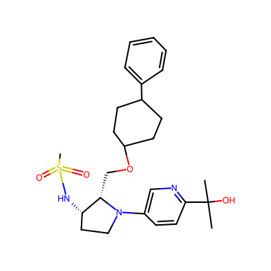 CC(C)(O)c1ccc(N2CC[C@H](NS(C)(=O)=O)[C@@H]2COC2CCC(c3ccccc3)CC2)cn1